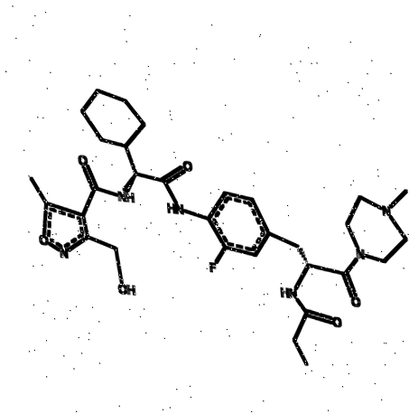 CCC(=O)N[C@H](Cc1ccc(NC(=O)[C@@H](NC(=O)c2c(CO)noc2C)C2CCCCC2)c(F)c1)C(=O)N1CCN(C)CC1